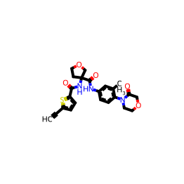 C#Cc1ccc(C(=O)NC2(C(=O)Nc3ccc(N4CCOCC4=O)c(C)c3)CCOC2)s1